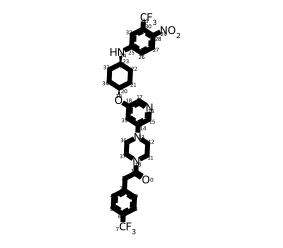 O=C(Cc1ccc(C(F)(F)F)cc1)N1CCN(c2cncc(O[C@H]3CC[C@H](Nc4ccc([N+](=O)[O-])c(C(F)(F)F)c4)CC3)c2)CC1